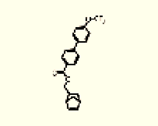 O=C(OCC1CC2C=CC1C2)c1ccc(-c2ccc(OC(F)(F)F)cc2)cc1